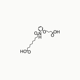 O=C(O)CCCCCCCCC(=O)Nc1ccccc1OCCCC(=O)O